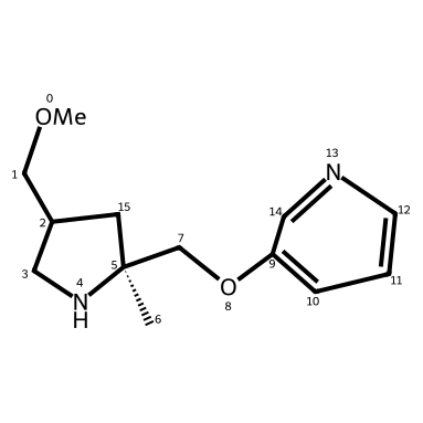 COCC1CN[C@](C)(COc2cccnc2)C1